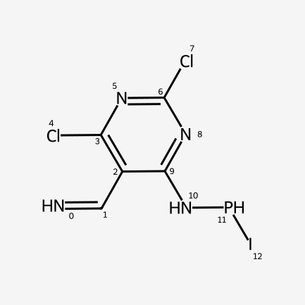 N=Cc1c(Cl)nc(Cl)nc1NPI